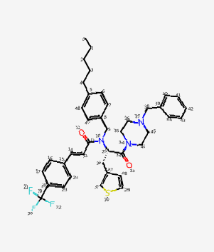 CCCCCc1ccc(CN(C(=O)/C=C/c2ccc(C(F)(F)F)cc2)[C@@H](Cc2ccsc2)C(=O)N2CCN(Cc3ccccc3)CC2)cc1